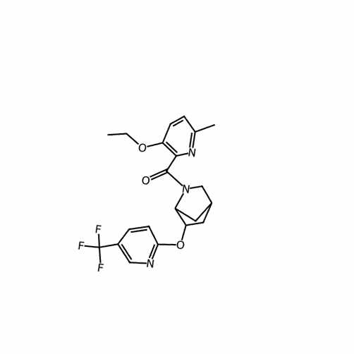 CCOc1ccc(C)nc1C(=O)N1CC2CC(Oc3ccc(C(F)(F)F)cn3)C1C2